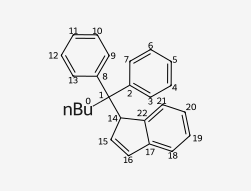 CCCCC(c1ccccc1)(c1ccccc1)C1C=Cc2ccccc21